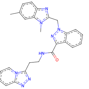 Cc1ccc2nc(Cn3nc(C(=O)NCCc4nnc5ccccn45)c4ccccc43)n(C)c2c1